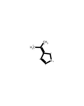 CC(C)=C1C=CSC1